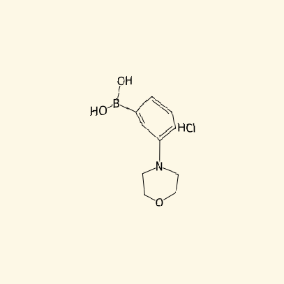 Cl.OB(O)c1cccc(N2CCOCC2)c1